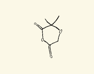 CC1(C)OCC(=O)OC1=O